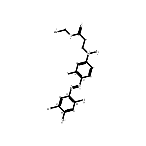 CCN(CCC(=O)OCC(C)=O)c1ccc(N=Nc2cc(I)c(S)cc2Cl)c(C)c1